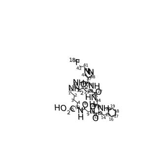 NCCCC[C@H](NC(=O)CNC(=O)[C@H](Cc1ccccc1)NC(=O)CNC(=O)[C@H](CCCCN)NC(=O)c1cnn(CC[18F])c1)C(=O)O